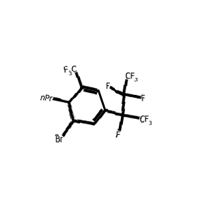 CCC[C]1C(C(F)(F)F)=CC(C(F)(C(F)(F)F)C(F)(F)C(F)(F)F)=CC1Br